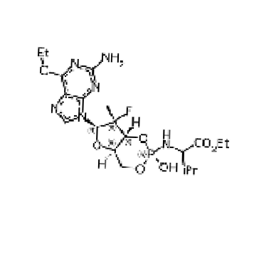 CCOC(=O)C(N[P@]1(O)OC[C@H]2O[C@@H](n3cnc4c(OCC)nc(N)nc43)[C@](C)(F)[C@@H]2O1)C(C)C